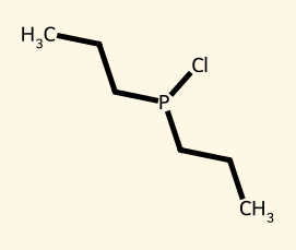 CCCP(Cl)CCC